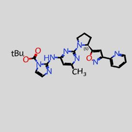 Cc1cc(Nc2nccn2C(=O)OC(C)(C)C)nc(N2CCC[C@H]2c2cc(-c3ccccn3)no2)n1